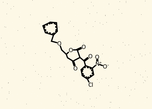 O=C1CC(COCc2ccccc2)OC(=O)C1C(=O)c1ccc(Cl)cc1[N+](=O)[O-]